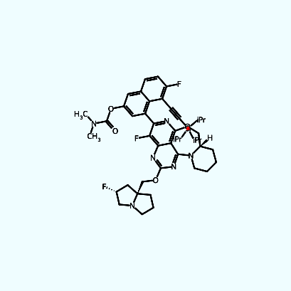 CC(C)[Si](C#Cc1c(F)ccc2cc(OC(=O)N(C)C)cc(-c3nc4c5c(nc(OC[C@@]67CCCN6C[C@H](F)C7)nc5c3F)N3CCCC[C@H]3CO4)c12)(C(C)C)C(C)C